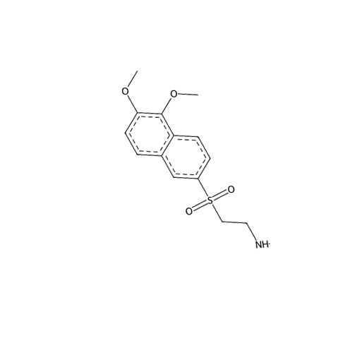 COc1ccc2cc(S(=O)(=O)CC[NH])ccc2c1OC